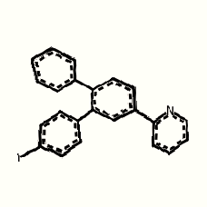 Ic1ccc(-c2cc(-c3ccccn3)ccc2-c2ccccc2)cc1